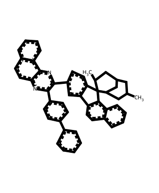 CC1CC2CC(C)C3(c4ccc(-c5nc6c(ccc7ccccc76)nc5-c5ccc(-c6ccccc6)cc5)cc4-c4ccc5ccccc5c43)C(C1)C2